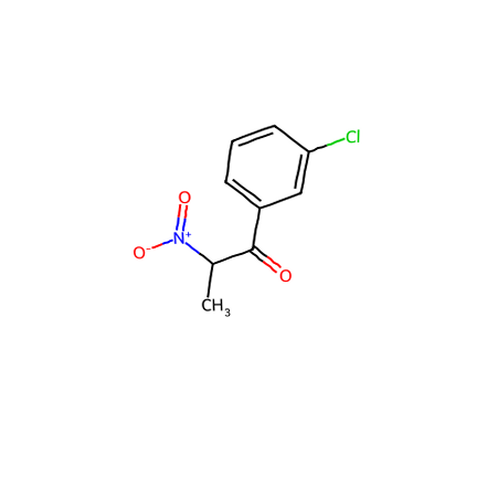 CC(C(=O)c1cccc(Cl)c1)[N+](=O)[O-]